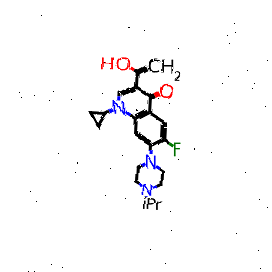 C=C(O)c1cn(C2CC2)c2cc(N3CCN(C(C)C)CC3)c(F)cc2c1=O